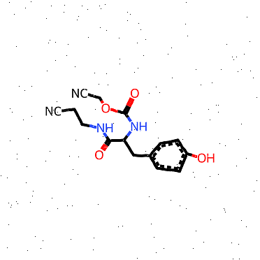 N#CCCNC(=O)C(Cc1ccc(O)cc1)NC(=O)OCC#N